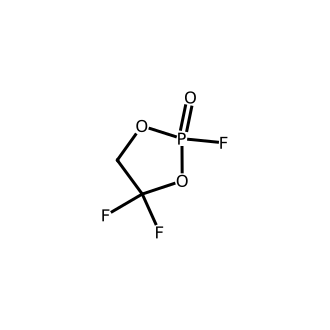 O=P1(F)OCC(F)(F)O1